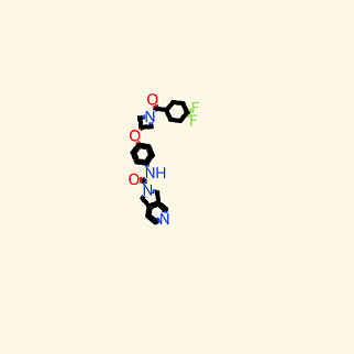 O=C(Nc1ccc(OC2CN(C(=O)C3CCC(F)(F)CC3)C2)cc1)N1Cc2ccncc2C1